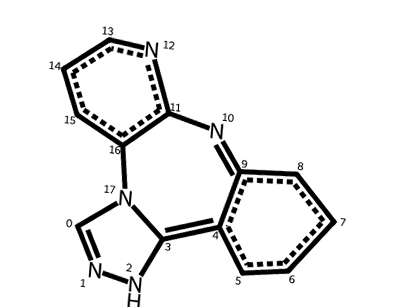 C1=NNC2=c3ccccc3=Nc3ncccc3N12